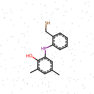 Cc1cc(C)c(O)c(Pc2ccccc2CS)c1